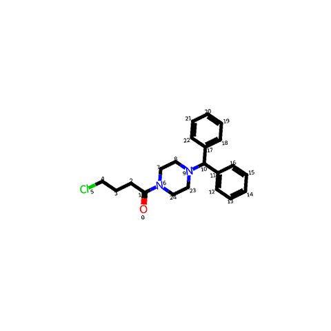 O=C(CCCCl)N1CCN(C(c2ccccc2)c2ccccc2)CC1